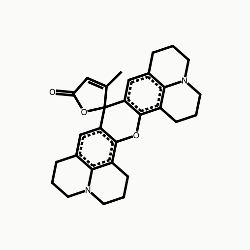 CC1=CC(=O)OC12c1cc3c4c(c1Oc1c2cc2c5c1CCCN5CCC2)CCCN4CCC3